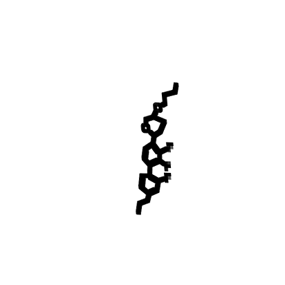 CCCCOC1CCC(c2ccc(-c3ccc(CCC)cc3F)c(F)c2F)OC1